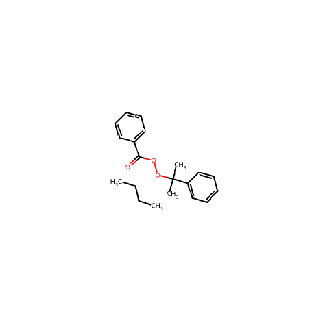 CC(C)(OOC(=O)c1ccccc1)c1ccccc1.CCCC